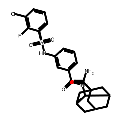 NC(=O)C12CC3CC(C1)C(NC(=O)c1cccc(NS(=O)(=O)c4cccc(Cl)c4F)c1)C(C3)C2